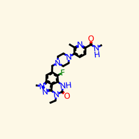 CCN1C(=O)Nc2c(F)c(CN3CCN(c4ccc(C(=O)NC)nc4C)CC3)cc3c2c1nn3C